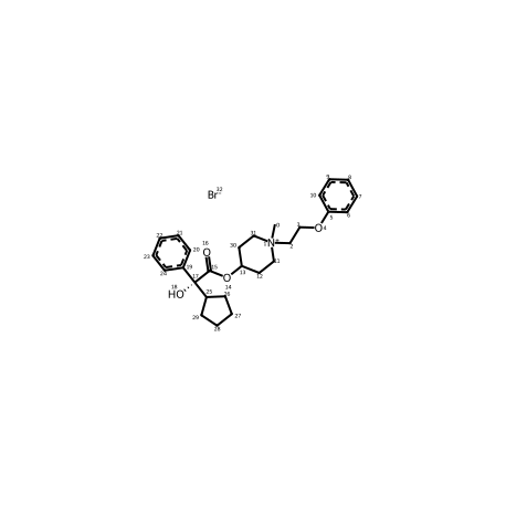 C[N+]1(CCOc2ccccc2)CCC(OC(=O)[C@](O)(c2ccccc2)C2CCCC2)CC1.[Br-]